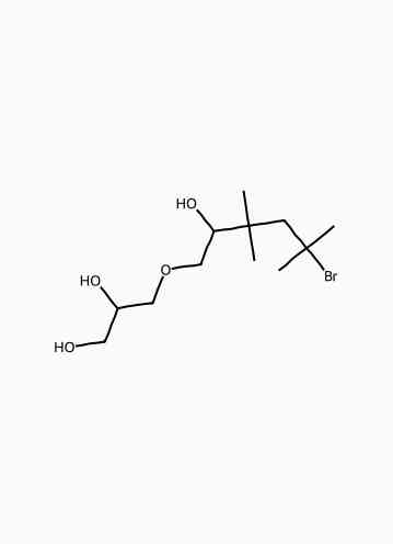 CC(C)(Br)CC(C)(C)C(O)COCC(O)CO